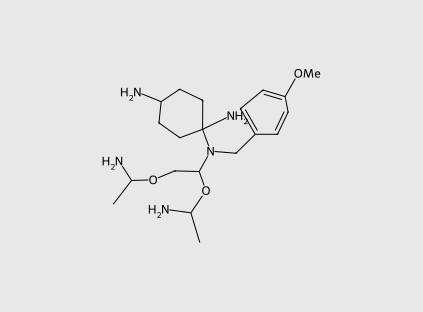 COc1ccc(CN(C(COC(C)N)OC(C)N)C2(N)CCC(N)CC2)cc1